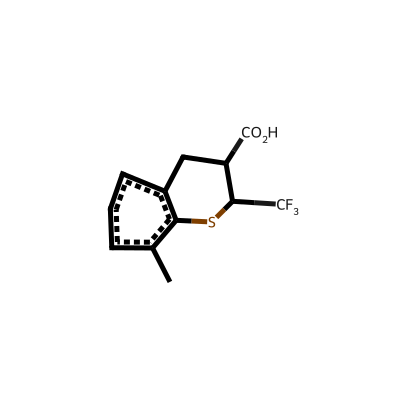 Cc1cccc2c1SC(C(F)(F)F)C(C(=O)O)C2